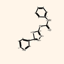 O=C(Nc1ccccc1)Oc1nnc(-c2cccnc2)s1